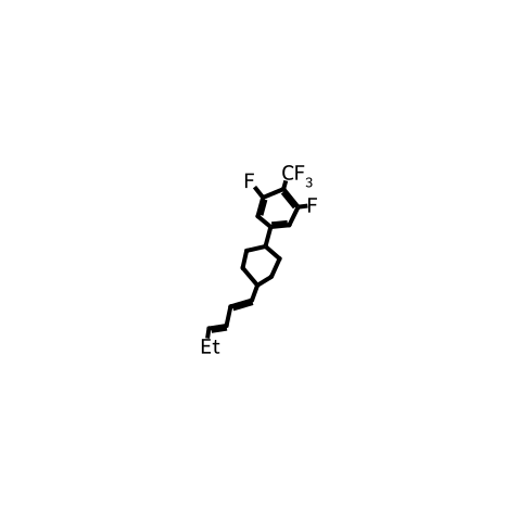 CC/C=C/C=C/C1CCC(c2cc(F)c(C(F)(F)F)c(F)c2)CC1